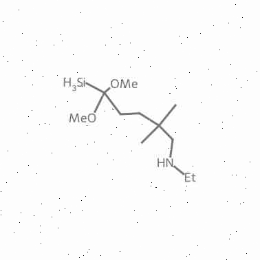 CCNCC(C)(C)CCC([SiH3])(OC)OC